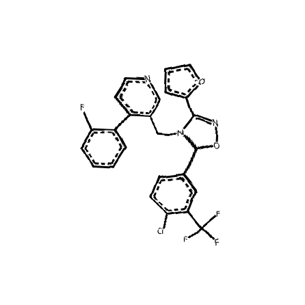 Fc1ccccc1-c1ccncc1CN1C(c2ccco2)=NOC1c1ccc(Cl)c(C(F)(F)F)c1